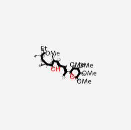 CC[C@H](OC)[C@@H](C)[C@H]1C[C@@H]1[C@H](O)[C@@H](C)/C=C/C=C(\C)[C@H]1O[C@H](OC)[C@H](OC)[C@@H](OC)[C@H]1OC